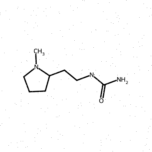 CN1CCCC1CC[N]C(N)=O